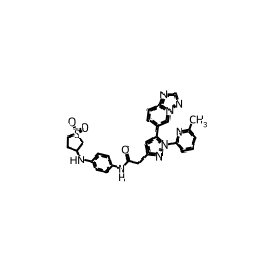 Cc1cccc(-n2nc(CC(=O)Nc3ccc(NC4CCS(=O)(=O)C4)cc3)cc2-c2ccc3ncnn3c2)n1